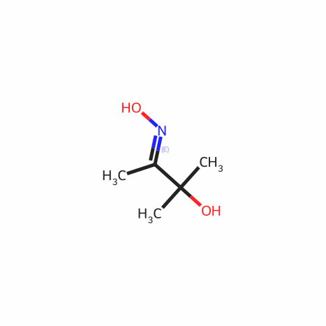 C/C(=N\O)C(C)(C)O